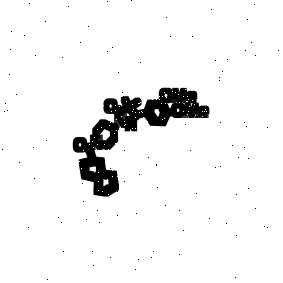 COc1ccc(C2=NN(C3CCN(C(=O)c4ccc5ccccc5c4)CC3)C(=O)C2(C)C)cc1OC